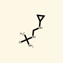 CC(N)(Cl)NCNC1CC1